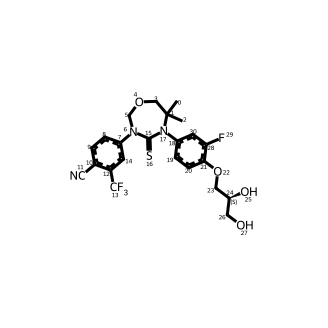 CC1(C)COCN(c2ccc(C#N)c(C(F)(F)F)c2)C(=S)N1c1ccc(OC[C@@H](O)CO)c(F)c1